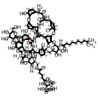 CC(=O)N[C@H]1[C@H](O[C@@H]2c3ccc(c(Cl)c3)Oc3cc4cc(c3O[C@@H]3O[C@H](CO)[C@@H](O)[C@H](O)[C@H]3NC(=O)CCCCCCCC(C)C)Oc3ccc(cc3Cl)C[C@H]3NC(=O)[C@H](N)c5ccc(O)c(c5)Oc5cc(O)cc(c5)[C@H](NC3=O)C(=O)N[C@H]4C(=O)N[C@H]3C(=O)N[C@@H]2C(=O)N[C@@H](C(=O)O)c2cc(O)cc(O[C@H]4O[C@H](CO)[C@@H](O)[C@H](O)[C@@H]4O)c2-c2cc3ccc2O)O[C@H](COC(=O)CCCC(=O)NC(P(=O)(O)O)P(=O)(O)O)[C@@H](O)[C@@H]1O